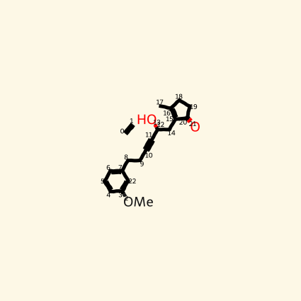 C=C.COc1cccc(CCC#CC(O)CC2=C(C)CCC2=O)c1